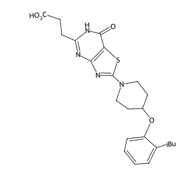 CCC(C)c1ccccc1OC1CCN(c2nc3nc(CCC(=O)O)[nH]c(=O)c3s2)CC1